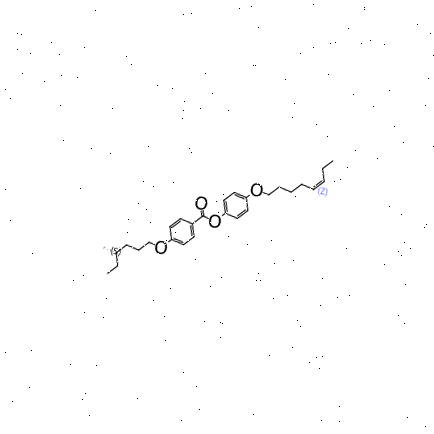 CC/C=C\CCCCOc1ccc(OC(=O)c2ccc(OCCC[C@@H](C)CC)cc2)cc1